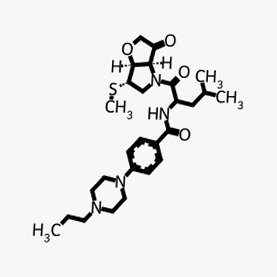 CCCN1CCN(c2ccc(C(=O)NC(CC(C)C)C(=O)N3C[C@H](SC)[C@H]4OCC(=O)[C@H]43)cc2)CC1